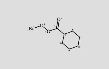 CC(C)(C)OOC(=O)C1CCCCC1